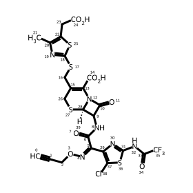 C#CCO/N=C(\C(=O)NC1C(=O)N2C(C(=O)O)=C(CSc3nc(C)c(CC(=O)O)s3)CS[C@H]12)c1nc(NC(=O)C(F)(F)F)sc1Cl